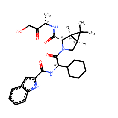 C[C@H](NC(=O)[C@@H]1[C@@H]2[C@H](CN1C(=O)[C@@H](NC(=O)c1cc3ccccc3[nH]1)C1CCCCC1)C2(C)C)C(=O)CO